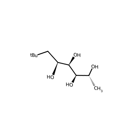 C[C@@H](O)[C@@H](O)[C@H](O)[C@@H](O)CC(C)(C)C